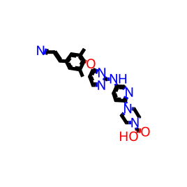 Cc1cc(C=CC#N)cc(C)c1Oc1ccnc(Nc2ccc(N3CCN(C(=O)O)CC3)nc2)n1